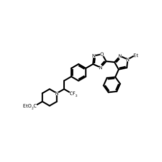 CCOC(=O)C1CCN(C(Cc2ccc(-c3noc(-c4nn(CC)cc4-c4ccccc4)n3)cc2)C(F)(F)F)CC1